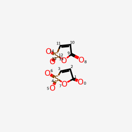 O=C1C=CS(=O)(=O)O1.O=C1C=CS(=O)(=O)O1